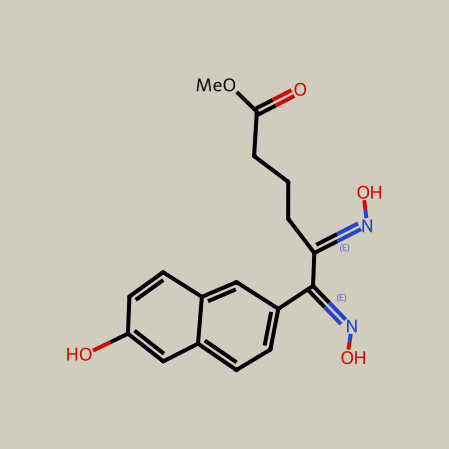 COC(=O)CCCC(=N\O)/C(=N/O)c1ccc2cc(O)ccc2c1